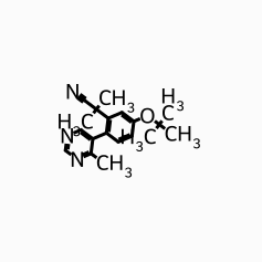 Cc1ncncc1-c1ccc(OC(C)(C)C)cc1C(C)(C)C#N